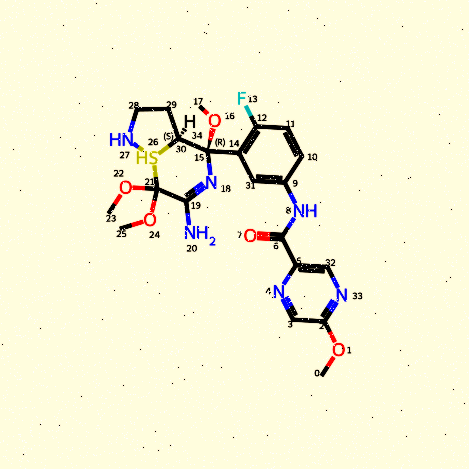 COc1cnc(C(=O)Nc2ccc(F)c([C@]3(OC)N=C(N)C(OC)(OC)[SH]4NCC[C@H]43)c2)cn1